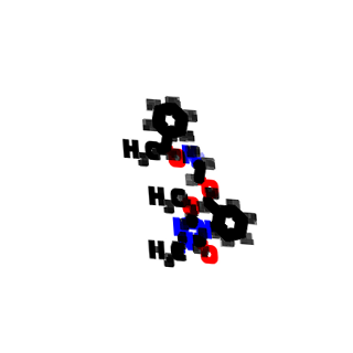 COc1nn(C)c(=O)n1-c1ccccc1COC/C=N\OC(C)c1ccccc1